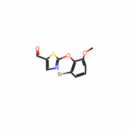 COc1cccc(Br)c1Oc1ncc(C=O)s1